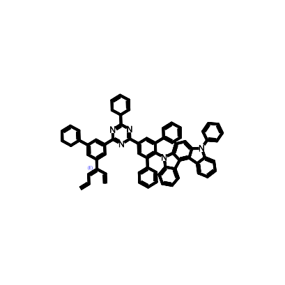 C=C/C=C(\C=C)c1cc(C2=CC=CCC2)cc(-c2nc(-c3cc(-c4ccccc4)c(-n4c5ccccc5c5c6c7ccccc7n(-c7ccccc7)c6ccc54)c(-c4ccccc4)c3)nc(C3C=CC=CC3)n2)c1